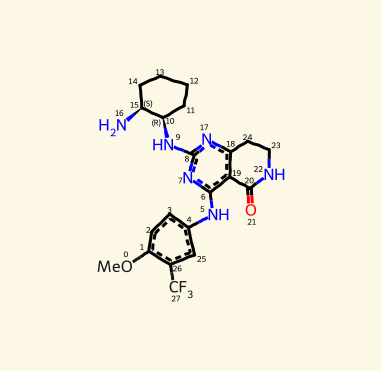 COc1ccc(Nc2nc(N[C@@H]3CCCC[C@@H]3N)nc3c2C(=O)NCC3)cc1C(F)(F)F